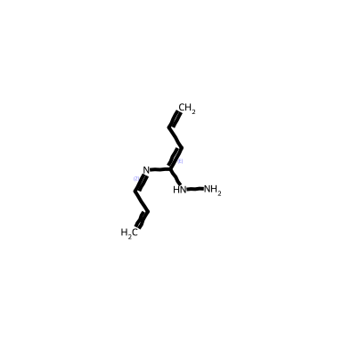 C=C/C=N\C(=C/C=C)NN